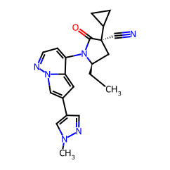 CC[C@@H]1C[C@](C#N)(C2CC2)C(=O)N1c1ccnn2cc(-c3cnn(C)c3)cc12